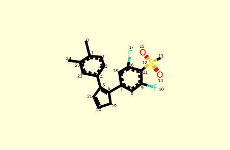 Cc1ccc(C2=C(c3cc(F)c(S(C)(=O)=O)c(F)c3)CC=C2)cc1C